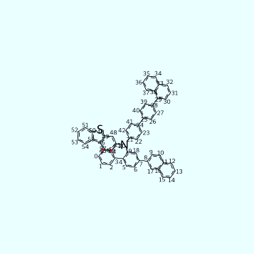 c1ccc(-c2ccc(-c3ccc4ccccc4c3)cc2N(c2ccc(-c3ccc(-c4cccc5ccccc45)cc3)cc2)c2ccc3c(c2)sc2ccccc23)cc1